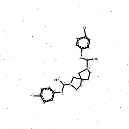 O=CC(Oc1ccc(Cl)cc1)N1CCC2(CCN(C(C=O)Oc3ccc(Cl)cc3)C2)C1